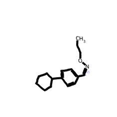 CCCO/N=[C]\c1ccc(C2CCCCC2)cc1